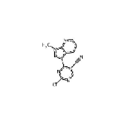 Cn1cc(-c2nc(Cl)ncc2C#N)c2cccnc21